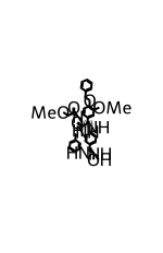 COCC(=O)Nc1cc(OCc2ccccc2)c(OC)cc1[C@H](Nc1ccc(C(=N)NO)cc1)C(=O)NCc1ccccc1